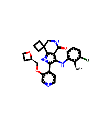 COc1c(Cl)cccc1Nc1c(-c2ccncc2OC[C@H]2CCO2)[nH]c2c1C(=O)NCC21CCC1